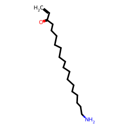 C=CC(=O)CCCCCCCCCCCCCCCCN